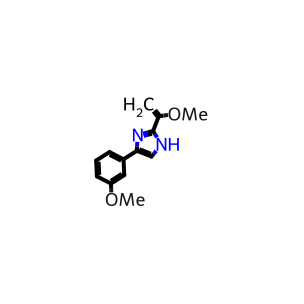 C=C(OC)c1nc(-c2cccc(OC)c2)c[nH]1